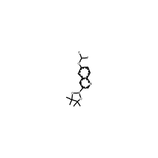 CC1(C)OB(c2cnc3ccc(OC(F)F)cc3c2)OC1(C)C